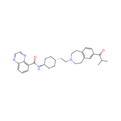 CC(C)C(=O)c1ccc2c(c1)CCN(CC[C@H]1CC[C@H](NC(=O)c3cccc4nccnc34)CC1)CC2